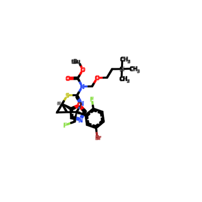 CC(C)(C)OC(=O)N(COCC[Si](C)(C)C)C1=N[C@](CF)(c2cc(Br)ccc2F)C2C[C@]2(c2cnco2)S1